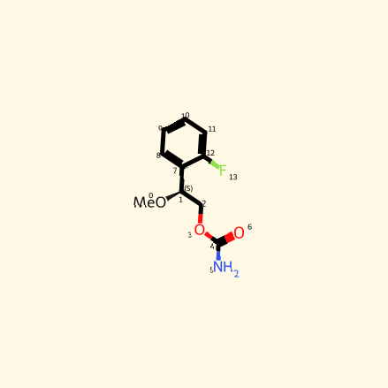 CO[C@H](COC(N)=O)c1ccccc1F